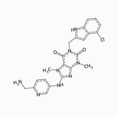 Cn1c(Nc2ccc(CN)nc2)nc2c1c(=O)n(Cc1cc3c(Cl)cccc3[nH]1)c(=O)n2C